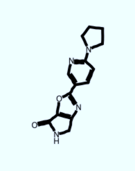 O=C1NCc2nc(-c3ccc(N4CCCC4)nc3)oc21